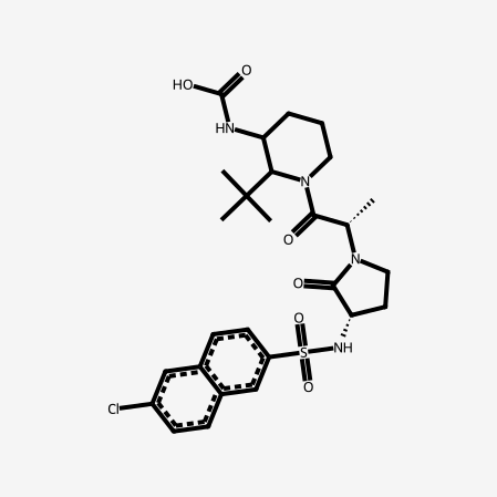 C[C@@H](C(=O)N1CCCC(NC(=O)O)C1C(C)(C)C)N1CC[C@H](NS(=O)(=O)c2ccc3cc(Cl)ccc3c2)C1=O